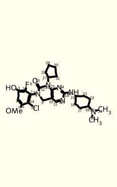 COc1cc(O)c(F)c(N2Cc3cnc(NC4CCC(N(C)C)CC4)nc3N(C3CCCC3)C2=O)c1Cl